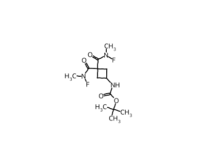 CN(F)C(=O)C1(C(=O)N(C)F)CC(NC(=O)OC(C)(C)C)C1